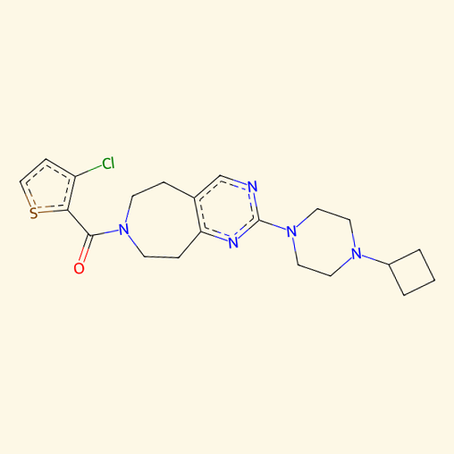 O=C(c1sccc1Cl)N1CCc2cnc(N3CCN(C4CCC4)CC3)nc2CC1